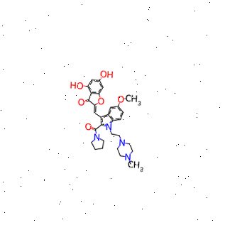 COc1ccc2c(c1)c(/C=C1\Oc3cc(O)cc(O)c3C1=O)c(C(=O)N1CCCC1)n2CCN1CCN(C)CC1